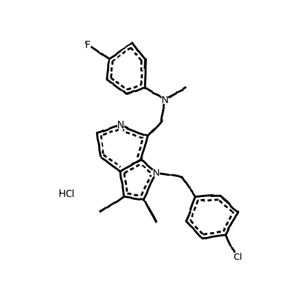 Cc1c(C)n(Cc2ccc(Cl)cc2)c2c(CN(C)c3ccc(F)cc3)nccc12.Cl